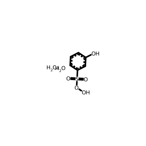 O.O=S(=O)(OO)c1cccc(O)c1.[CaH2]